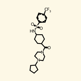 O=C(C1CCC(NS(=O)(=O)c2ccc(C(F)(F)F)cc2)CC1)N1CCN(C2CCCC2)CC1